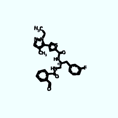 CCn1ncc(C)c1-c1csc(C(=O)N[C@H](CNC(=O)c2ccccc2C=O)Cc2cccc(F)c2)c1